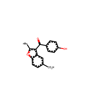 CCCCc1oc2ccc(C(=O)O)cc2c1C(=O)c1ccc(O)cc1